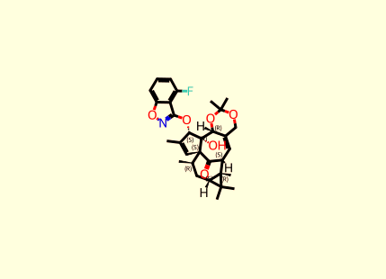 CC1=C[C@]23C(=O)[C@@H](C=C4COC(C)(C)O[C@H]4[C@]2(O)[C@H]1Oc1noc2cccc(F)c12)[C@@]1(C)[C@@H](C[C@H]3C)C1(C)C